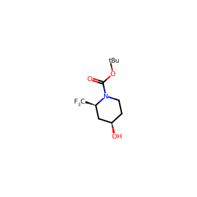 CC(C)(C)OC(=O)N1CC[C@@H](O)C[C@H]1C(F)(F)F